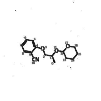 C[C@@H](COc1ccccc1C#N)OC1CCCCO1